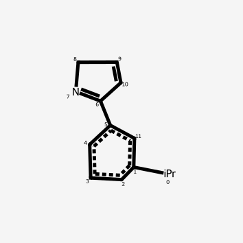 CC(C)c1cccc(C2=NCC=C2)c1